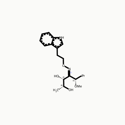 CO[C@H](/C(=N/OCCc1c[nH]c2ccccc12)[C@@H](O)[C@@H](C)O)C(C)C